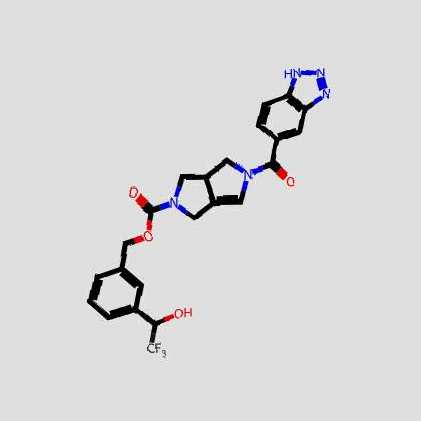 O=C(c1ccc2[nH]nnc2c1)N1C=C2CN(C(=O)OCc3cccc(C(O)C(F)(F)F)c3)CC2C1